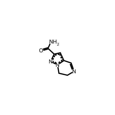 NC(=O)c1cc2n(n1)CCN=C2